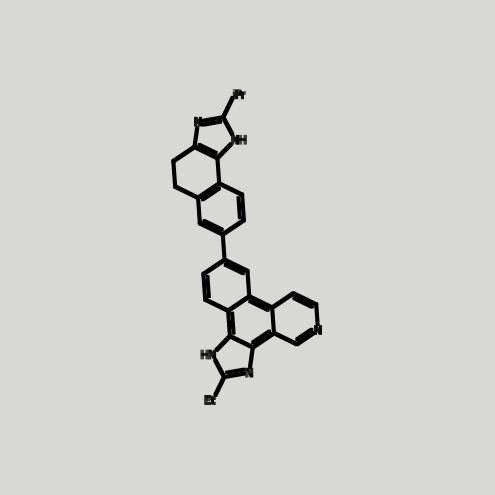 CCc1nc2c3cnccc3c3cc(-c4ccc5c(c4)CCc4nc(C(C)C)[nH]c4-5)ccc3c2[nH]1